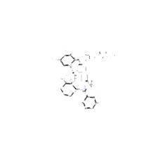 CCC(C)(Pc1c(C)cccc1/C(=N/C)c1ccccc1)c1cc(C)ccc1OCOC